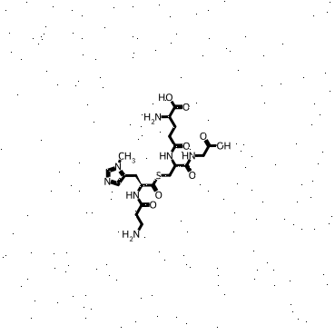 Cn1cncc1C[C@H](NC(=O)CCN)C(=O)SCC(NC(=O)CCC(N)C(=O)O)C(=O)NCC(=O)O